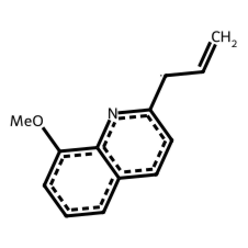 C=C[CH]c1ccc2cccc(OC)c2n1